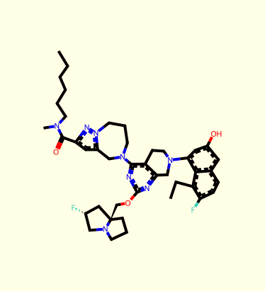 CCCCCCN(C)C(=O)c1cc2n(n1)CCCN(c1nc(OC[C@@]34CCCN3C[C@H](F)C4)nc3c1CCN(c1cc(O)cc4ccc(F)c(CC)c14)C3)C2